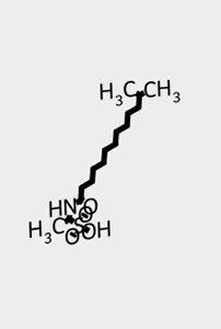 CC(C)CCCCCCCCCCC(=O)NC(C)S(=O)(=O)O